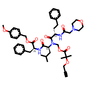 C#CCOC(C)(C)C(=O)OCN(C(=O)[C@H](CCc1ccccc1)NC(=O)CN1CCOCC1)[C@@H](CC(C)C)C(=O)N[C@@H](Cc1ccccc1)C(=O)OCc1ccc(OC)cc1